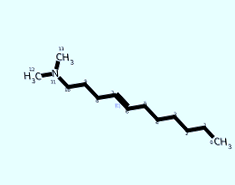 CCCCCC/C=C/CCCN(C)C